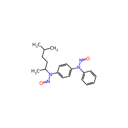 CC(C)CCC(C)N(N=O)c1ccc(N(N=O)c2ccccc2)cc1